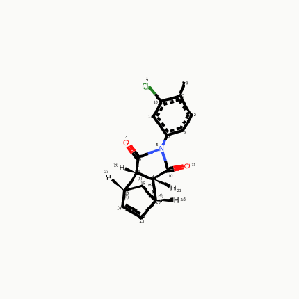 Cc1ccc(N2C(=O)[C@@H]3[C@H](C2=O)[C@@H]2C=C[C@H]3C2)cc1Cl